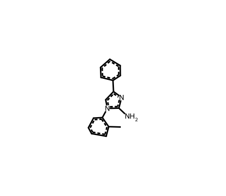 Cc1ccccc1-n1cc(-c2ccccc2)nc1N